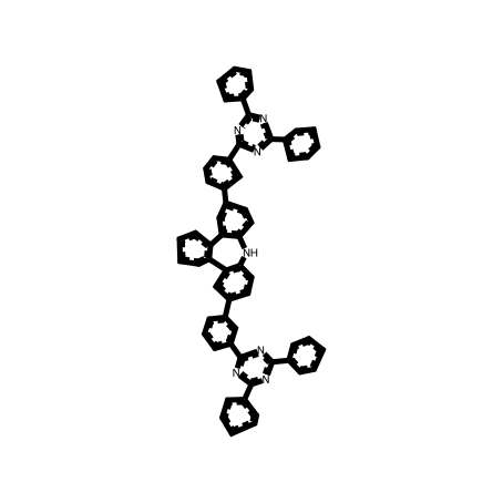 c1ccc(-c2nc(-c3ccccc3)nc(-c3cccc(-c4ccc5c(c4)-c4ccccc4-c4cc(-c6cccc(-c7nc(-c8ccccc8)nc(-c8ccccc8)n7)c6)ccc4N5)c3)n2)cc1